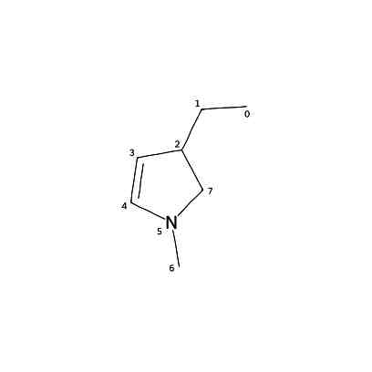 CCC1C=CN(C)C1